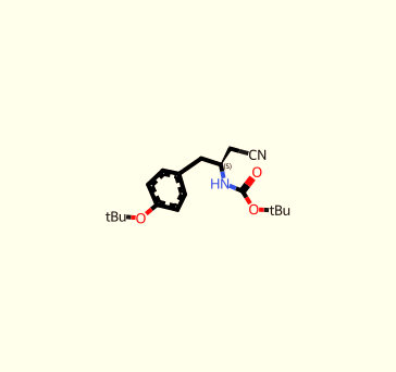 CC(C)(C)OC(=O)N[C@H](CC#N)Cc1ccc(OC(C)(C)C)cc1